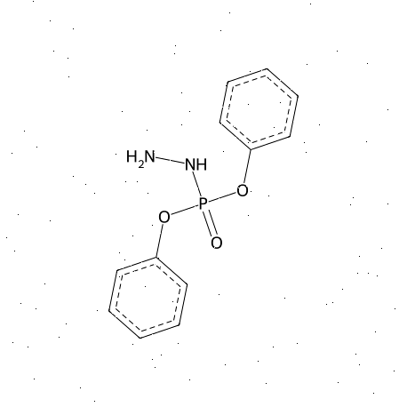 NNP(=O)(Oc1ccccc1)Oc1ccccc1